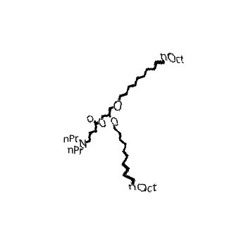 CCCCCCCCC=CCCCCCCCCOCC(COC(=O)CCCN(CCC)CCC)OCCCCCCCCC=CCCCCCCCC